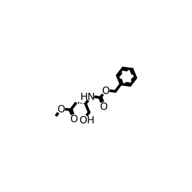 COC(=O)C[C@@H](CO)NC(=O)OCc1ccccc1